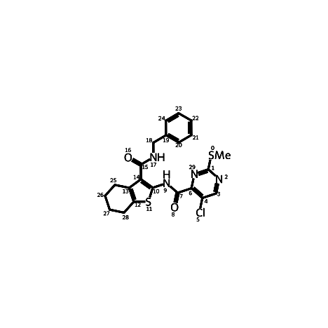 CSc1ncc(Cl)c(C(=O)Nc2sc3c(c2C(=O)NCc2ccccc2)CCCC3)n1